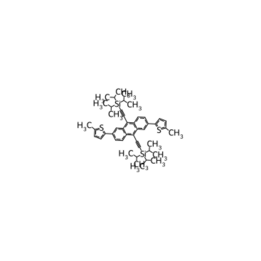 Cc1ccc(-c2ccc3c(C#C[Si](C(C)C)(C(C)C)C(C)C)c4cc(-c5ccc(C)s5)ccc4c(C#C[Si](C(C)C)(C(C)C)C(C)C)c3c2)s1